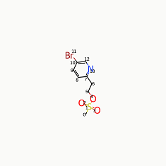 CS(=O)(=O)OCCc1ccc(Br)cn1